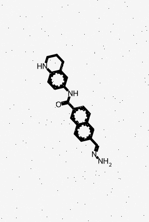 NN=Cc1ccc2cc(C(=O)Nc3ccc4c(c3)CCCN4)ccc2c1